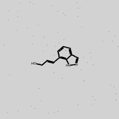 OCC=Cc1cccc2cn[nH]c12